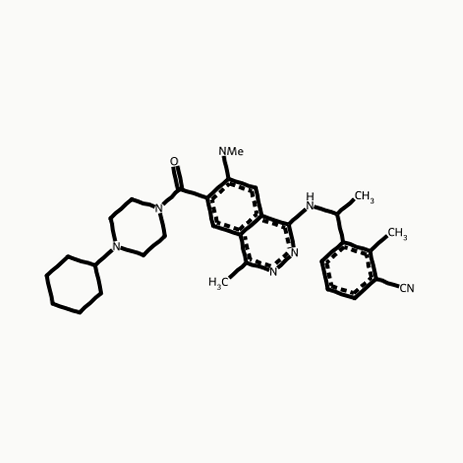 CNc1cc2c(NC(C)c3cccc(C#N)c3C)nnc(C)c2cc1C(=O)N1CCN(C2CCCCC2)CC1